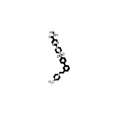 CN1CCN(CCc2cccc(-c3ccc(S(=O)(=O)N4CCN(c5ncc(C(=O)NO)cn5)CC4)cc3)c2)CC1